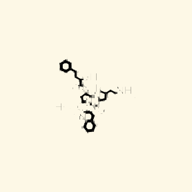 NCCC1CN[C@@H](C(=O)N(c2cnc3ccccc3c2)N2CC(NC(=O)[C@H](O)CCc3ccccc3)C[C@H]2C(=O)O)C1